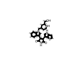 O=C1NC(=O)C(c2c[nH]c3ccsc23)=C1c1cn(CC2CCNC(CO)C2)c2ccccc12